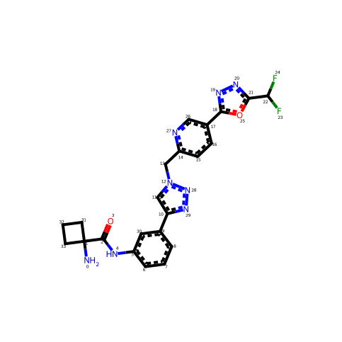 NC1(C(=O)Nc2cccc(-c3cn(Cc4ccc(-c5nnc(C(F)F)o5)cn4)nn3)c2)CCC1